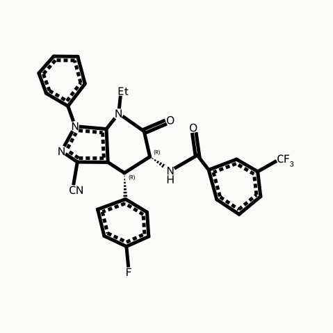 CCN1C(=O)[C@H](NC(=O)c2cccc(C(F)(F)F)c2)[C@H](c2ccc(F)cc2)c2c(C#N)nn(-c3ccccc3)c21